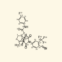 CC12CCC(CC(=O)Nc3ccc(F)cc3)(O1)[C@@H]1C(=O)N(c3ccc(C#N)c(C(F)(F)F)c3)C(=O)[C@@H]12